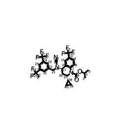 CC(C)OC(=O)N1c2ccc(C(F)(F)F)cc2[C@@H](N(C#N)Cc2cc(C(F)(F)F)cc(C(F)(F)F)c2)C[C@H]1C1CC1